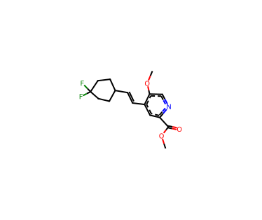 COC(=O)c1cc(/C=C/C2CCC(F)(F)CC2)c(OC)cn1